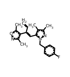 C=C/C(=C\c1c(C)c(C)nn1Cc1ccc(F)cc1)c1c(C)noc1C